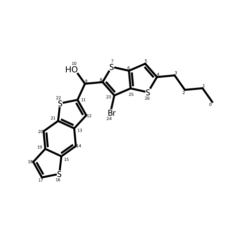 CCCCc1cc2sc(C(O)c3cc4cc5sccc5cc4s3)c(Br)c2s1